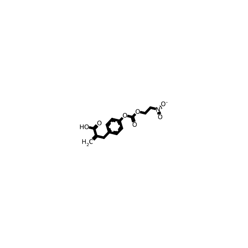 C=C(Cc1ccc(OC(=O)OCC[N+](=O)[O-])cc1)C(=O)O